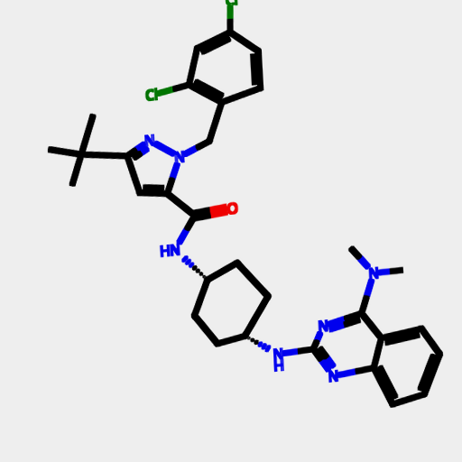 CN(C)c1nc(N[C@H]2CC[C@@H](NC(=O)c3cc(C(C)(C)C)nn3Cc3ccc(Cl)cc3Cl)CC2)nc2ccccc12